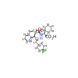 CC1([C@H](NC(=O)c2ccc3cccnc3c2OCC2CCC(F)(F)CC2)C(=O)O)CCCCC1